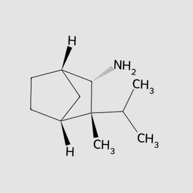 CC(C)[C@]1(C)[C@@H]2CC[C@@H](C2)[C@@H]1N